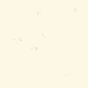 CC(=O)OCc1ccc(Nc2nc(-c3ccc(F)cc3)c(C)cc2[N+](=O)[O-])cc1